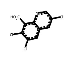 O=C(O)c1c(Cl)c(Cl)cc2cc(Cl)cnc12